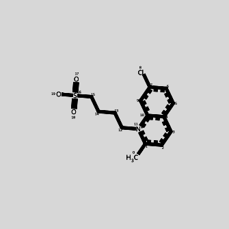 Cc1ccc2ccc(Cl)cc2[n+]1CCCCS(=O)(=O)[O-]